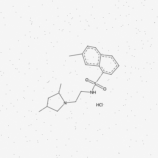 Cc1ccc2cccc(S(=O)(=O)NCCN3CC(C)CC3C)c2c1.Cl